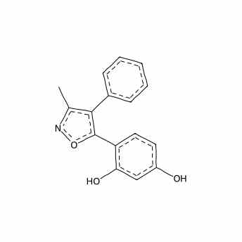 Cc1noc(-c2ccc(O)cc2O)c1-c1ccccc1